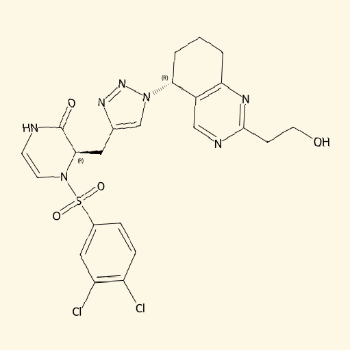 O=C1NC=CN(S(=O)(=O)c2ccc(Cl)c(Cl)c2)[C@@H]1Cc1cn([C@@H]2CCCc3nc(CCO)ncc32)nn1